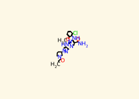 C=CC(=O)N1CCC[C@H](n2cc(Nc3ncc(C(N)=O)c(Nc4c(Cl)cccc4OC)n3)cn2)C1